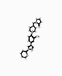 N#Cc1cc(-c2cnn(C3CCCCO3)c2)ccc1N1CCC(CN2CCCC2=O)CC1